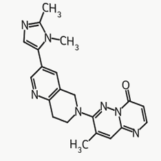 Cc1cc2nccc(=O)n2nc1N1CCc2ncc(-c3cnc(C)n3C)cc2C1